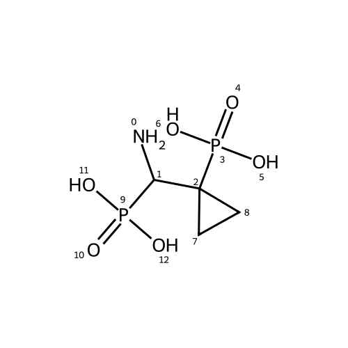 NC(C1(P(=O)(O)O)CC1)P(=O)(O)O